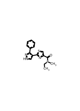 CCN(C)C(=O)c1csc(-c2c[nH]nc2-c2ccccc2)n1